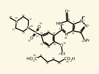 CCCc1nn(C)c2c(=O)[nH]c(-c3cc(S(=O)(=O)N4CCN(C)CC4)ccc3OCC)nc12.O=C(O)CCCCC(=O)O